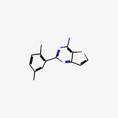 COc1ccc(OC)c(-c2nc(N)c3sccc3n2)c1